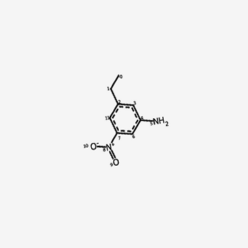 [CH2]Cc1cc(N)cc([N+](=O)[O-])c1